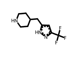 FC(F)(F)c1cc(CC2CCNCC2)[nH]n1